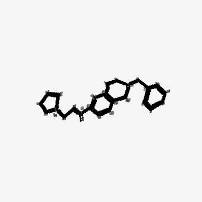 c1ccc(CN2CCc3nc(NCCN4CCCC4)ccc3C2)cc1